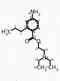 CCCc1cc(N)ccc1C(=O)OCCN(CC)CC